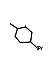 CC1[CH]CC(C(C)C)CC1